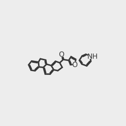 C1=CC=CNC=C1.O=C(c1ccoc1)C1C=c2c(ccc3c2=CCc2ccccc2-3)CC1